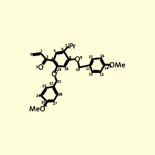 C=CC(=O)c1cc(C(C)C)c(OCc2ccc(OC)cc2)cc1OCc1ccc(OC)cc1